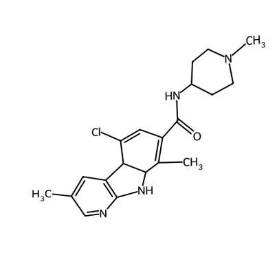 CC1=C(C(=O)NC2CCN(C)CC2)C=C(Cl)C2c3cc(C)cnc3NC12